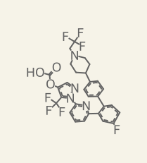 O=C(O)Oc1cnn(-c2cccc(-c3cc(F)ccc3-c3ccc(C4CCN(CC(F)(F)F)CC4)cc3)n2)c1C(F)(F)F